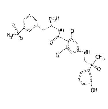 CP(=O)(CNc1cc(Cl)c(C(=O)N[C@@H](Cc2cccc(S(C)(=O)=O)c2)C(=O)O)c(Cl)c1)c1cccc(O)c1